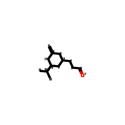 C=C1CC(CCC=O)CC(C(C)C)C1